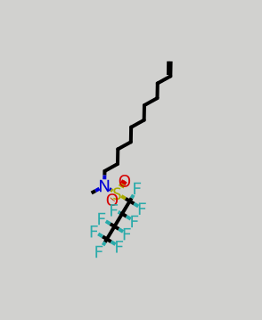 C=CCCCCCCCCCN(C)S(=O)(=O)C(F)(F)C(F)(F)C(F)(F)C(F)(F)F